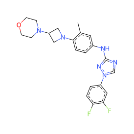 Cc1cc(Nc2ncn(-c3ccc(F)c(F)c3)n2)ccc1N1CC(N2CCOCC2)C1